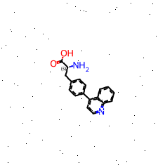 N[C@@H](Cc1ccc(-c2ccnc3ccccc23)cc1)C(=O)O